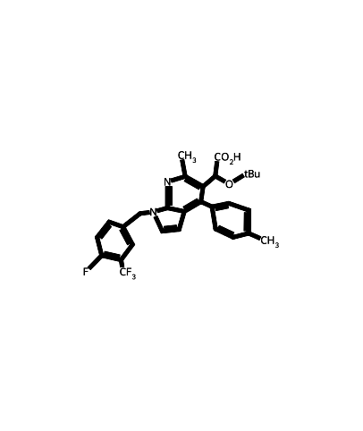 Cc1ccc(-c2c(C(OC(C)(C)C)C(=O)O)c(C)nc3c2ccn3Cc2ccc(F)c(C(F)(F)F)c2)cc1